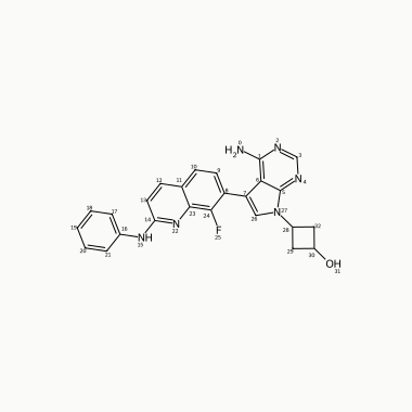 Nc1ncnc2c1c(-c1ccc3ccc(Nc4ccccc4)nc3c1F)cn2C1CC(O)C1